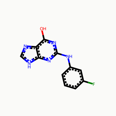 Oc1nc(Nc2cccc(F)c2)nc2[nH]cnc12